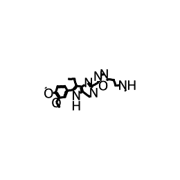 CCc1c(-c2ccc(OC)c(OC)c2)[nH]c2cnc(-c3nnc(CCNC)o3)nc12